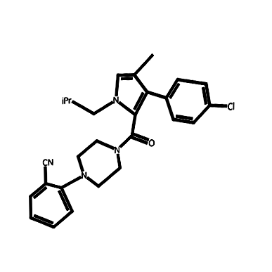 Cc1cn(CC(C)C)c(C(=O)N2CCN(c3ccccc3C#N)CC2)c1-c1ccc(Cl)cc1